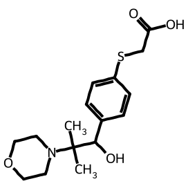 CC(C)(C(O)c1ccc(SCC(=O)O)cc1)N1CCOCC1